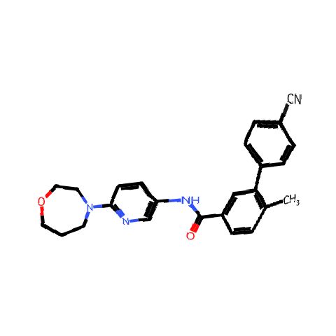 Cc1ccc(C(=O)Nc2ccc(N3CCCOCC3)nc2)cc1-c1ccc(C#N)cc1